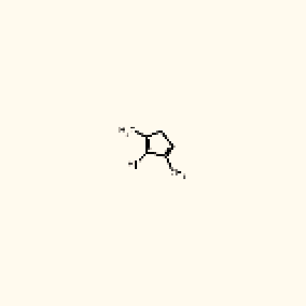 CC1=CCC(C)=[C]1[Hf]